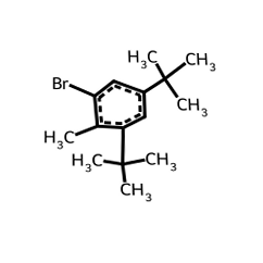 Cc1c(Br)cc(C(C)(C)C)cc1C(C)(C)C